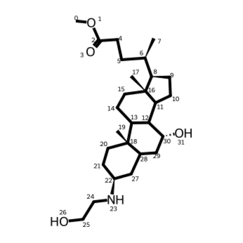 COC(=O)CC[C@@H](C)[C@H]1CCC2C3C(CC[C@@]21C)[C@@]1(C)CC[C@H](NCCO)CC1C[C@H]3O